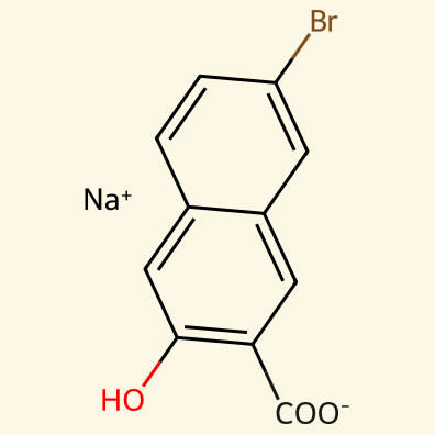 O=C([O-])c1cc2cc(Br)ccc2cc1O.[Na+]